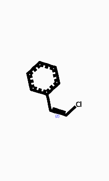 Cl/C=C\c1ccccc1